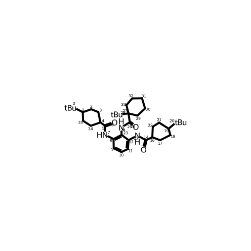 CC(C)(C)C1CCC(C(=O)Nc2cccc(NC(=O)C3CCC(C(C)(C)C)CC3)c2NC(=O)C2(C(C)(C)C)CCCCC2)CC1